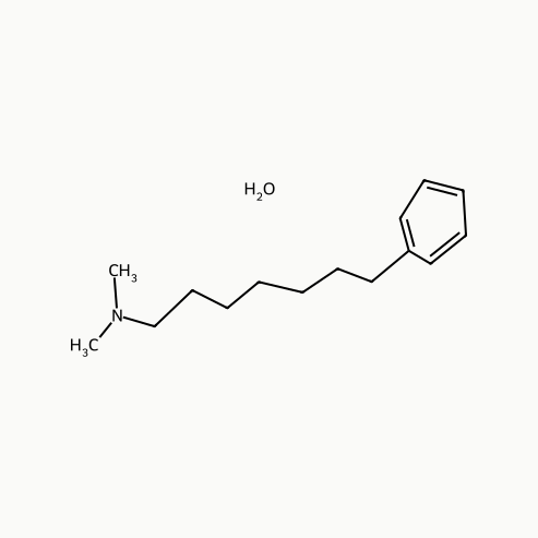 CN(C)CCCCCCCc1ccccc1.O